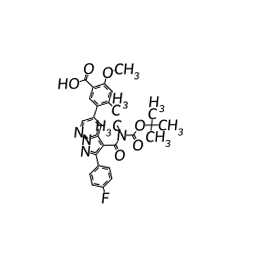 COc1cc(C)c(-c2cnn3nc(-c4ccc(F)cc4)c(C(=O)N(C)C(=O)OC(C)(C)C)c3c2)cc1C(=O)O